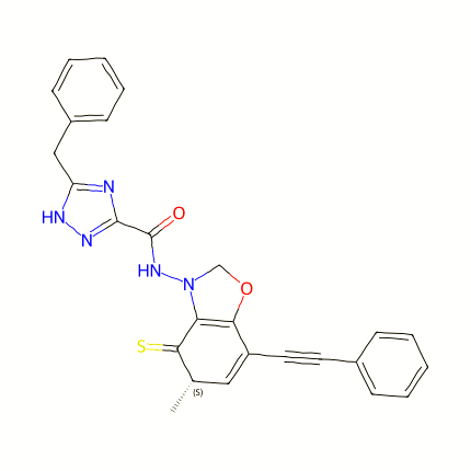 C[C@H]1C=C(C#Cc2ccccc2)C2=C(C1=S)N(NC(=O)c1n[nH]c(Cc3ccccc3)n1)CO2